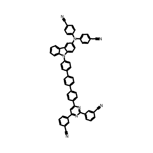 N#Cc1ccc(N(c2ccc(C#N)cc2)c2ccc3c(c2)c2ccccc2n3-c2ccc(-c3ccc(-c4ccc(-c5cc(-c6cccc(C#N)c6)nc(-c6cccc(C#N)c6)n5)cc4)cc3)cc2)cc1